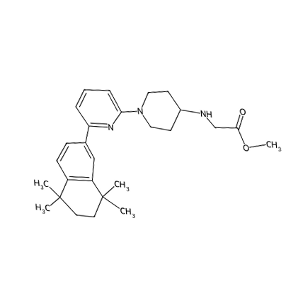 COC(=O)CNC1CCN(c2cccc(-c3ccc4c(c3)C(C)(C)CCC4(C)C)n2)CC1